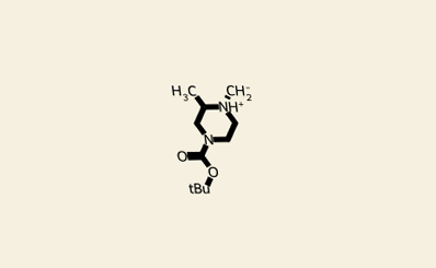 [CH2-][NH+]1CCN(C(=O)OC(C)(C)C)CC1C